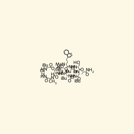 CC[C@H](C)[C@H](NC(=O)[C@@H](CCc1csc2ccccc12)NC)C(=O)N[C@@H](CO)C(=O)N[C@H](CCC(N)=O)C(=O)N[C@@H](C(=O)N[C@H](C(=O)N[C@@H](CO)C(=O)N[C@H]1C(=O)N[C@@H](C)C(=O)NC2(CC2)C(=O)N[C@@H]([C@@H](C)CC)C(=O)O[C@H]1C)[C@@H](C)CC)[C@@H](C)CC